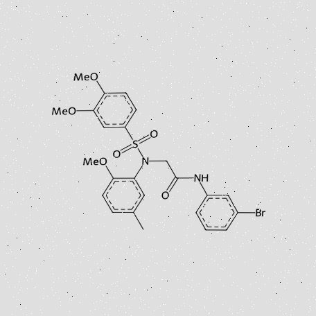 COc1ccc(S(=O)(=O)N(CC(=O)Nc2cccc(Br)c2)c2cc(C)ccc2OC)cc1OC